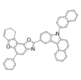 C1=Cc2oc3c(-c4ccccc4)cc4nc(-c5ccc6c(c5)c5c7ccccc7ccc5n6-c5ccc6ccccc6c5)oc4c3c2CC1